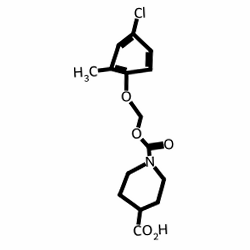 Cc1cc(Cl)ccc1OCOC(=O)N1CCC(C(=O)O)CC1